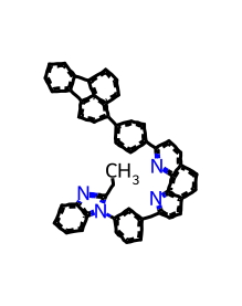 CCc1nc2ccccc2n1-c1cccc(-c2ccc3ccc4ccc(-c5ccc(-c6ccc7c8c(cccc68)-c6ccccc6-7)cc5)nc4c3n2)c1